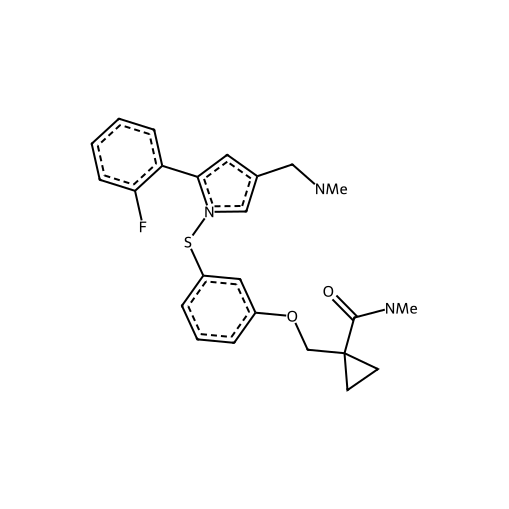 CNCc1cc(-c2ccccc2F)n(Sc2cccc(OCC3(C(=O)NC)CC3)c2)c1